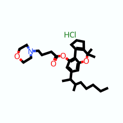 CCCCCC(C)C(C)c1cc(OC(=O)CCCN2CCOCC2)c2c(c1)OC(C)(C)C1=C2CCC1.Cl